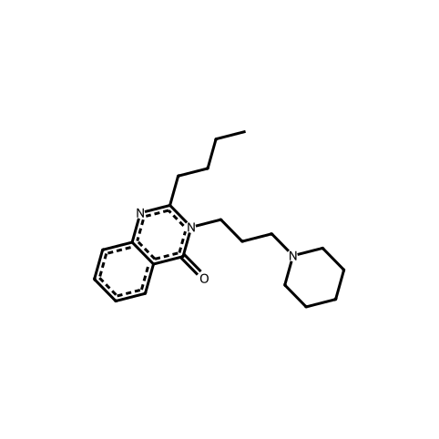 CCCCc1nc2ccccc2c(=O)n1CCCN1CCCCC1